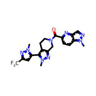 Cn1nc(C(F)(F)F)cc1-c1c2c(nn1C)CN(C(=O)c1ccc3c(cnn3C)n1)CC2